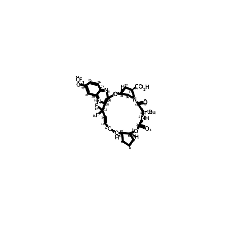 CC(C)(C)[C@@H]1NC(=O)O[C@@H]2CCC[C@H]2OC/C=C/C(F)(F)c2nc3cc(OC(F)(F)F)ccc3nc2O[C@@H]2C[C@@H](C(=O)O)N(C2)C1=O